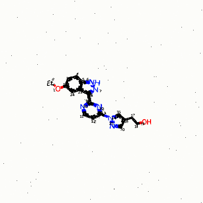 CCOc1ccc2[nH]nc(-c3nccc(-n4cc(CCO)cn4)n3)c2c1